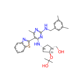 Cc1cc(C)cc(CNc2nc(C)c(-c3nc4ccccc4s3)c(N[C@@H]3C[C@H](CO)[C@@H](OC(C)(C)O)C3)n2)c1